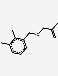 C=C(C)COCc1[c]ccc(C)c1C